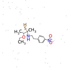 CCOC(C)C(C)(S)NCCc1ccc([N+](=O)[O-])cc1